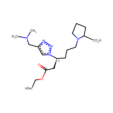 CCCCCCCCCCCOC(=O)C[C@H](CCCN1CCCC1C(=O)O)n1cc(CN(C)C)nn1